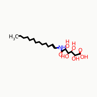 CCCCCCCCCCCC=CNC(=O)[C@@H](O)[C@H](O)[C@@H](O)[C@@H](O)C(=O)O